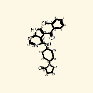 O=C(c1ccccc1Cl)c1c[nH]c2ncnc(NC3CCC(N4CCCC4=O)CC3)c12